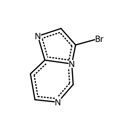 Brc1cnc2ccncn12